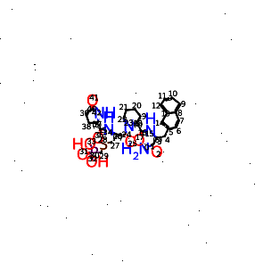 NC(=O)[C@H](Cc1ccc2ccccc2c1)NC(=O)[C@@H]1CCCCN1C(=O)[C@H](CSCP(=O)(O)O)NC(=O)[C@@H]1CCC(=O)N1